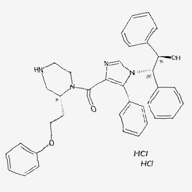 Cl.Cl.O=C(c1ncn([C@@H](c2ccccc2)[C@H](O)c2ccccc2)c1-c1ccccc1)N1CCNC[C@H]1CCOc1ccccc1